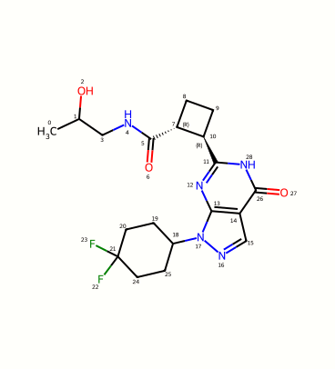 CC(O)CNC(=O)[C@@H]1CC[C@H]1c1nc2c(cnn2C2CCC(F)(F)CC2)c(=O)[nH]1